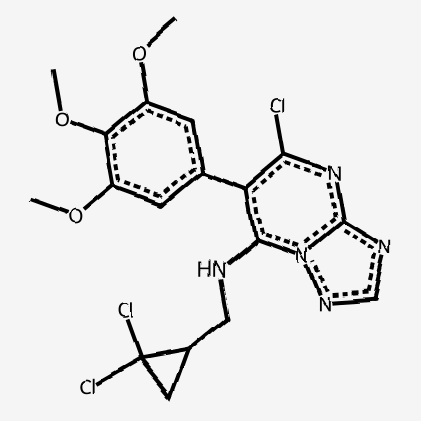 COc1cc(-c2c(Cl)nc3ncnn3c2NCC2CC2(Cl)Cl)cc(OC)c1OC